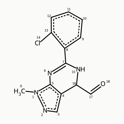 Cn1ncc2c1N=C(c1ccccc1Cl)NC2C=O